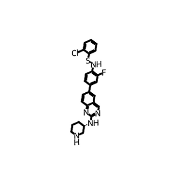 Fc1cc(-c2ccc3nc(N[C@H]4CCCNC4)ncc3c2)ccc1NSc1ccccc1Cl